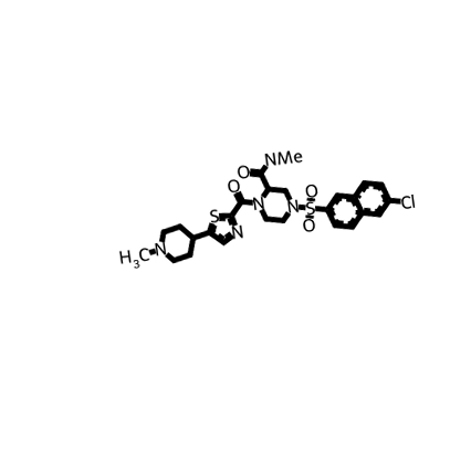 CNC(=O)C1CN(S(=O)(=O)c2ccc3cc(Cl)ccc3c2)CCN1C(=O)c1ncc(C2CCN(C)CC2)s1